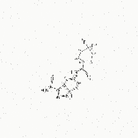 NC(=O)c1n[nH]c2ccc(NC(=O)N3CCC(F)(F)CC3)cc12